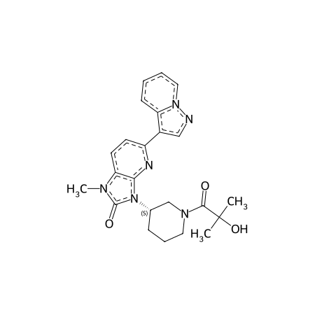 Cn1c(=O)n([C@H]2CCCN(C(=O)C(C)(C)O)C2)c2nc(-c3cnn4ccccc34)ccc21